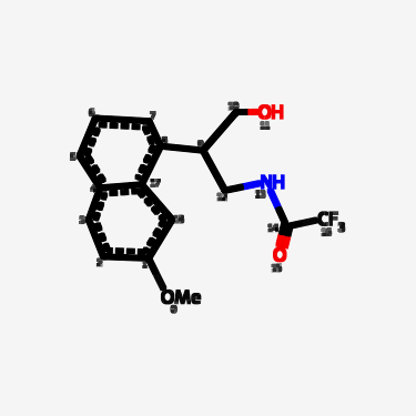 COc1ccc2cccc(C(CO)CNC(=O)C(F)(F)F)c2c1